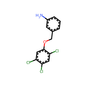 Nc1cccc(COc2cc(Cl)c(Cl)cc2Cl)c1